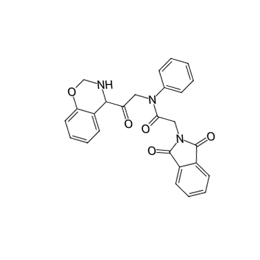 O=C(CN(C(=O)CN1C(=O)c2ccccc2C1=O)c1ccccc1)C1NCOc2ccccc21